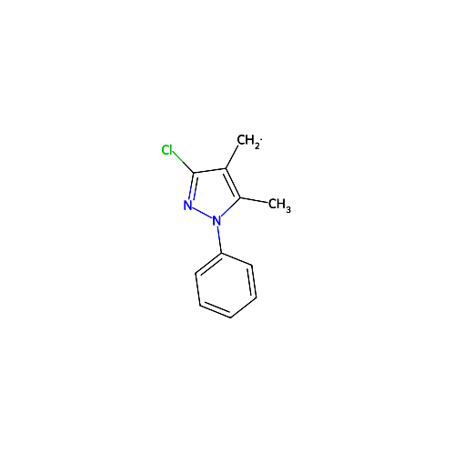 [CH2]c1c(Cl)nn(-c2ccccc2)c1C